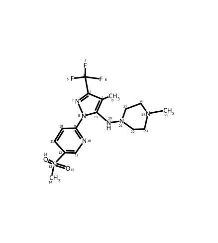 Cc1c(C(F)(F)F)nn(-c2ccc(S(C)(=O)=O)cn2)c1NN1CCN(C)CC1